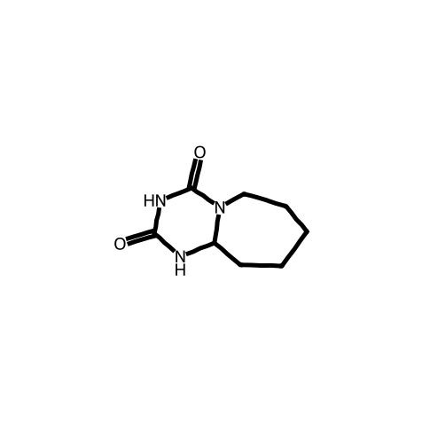 O=C1NC(=O)N2CCCCCC2N1